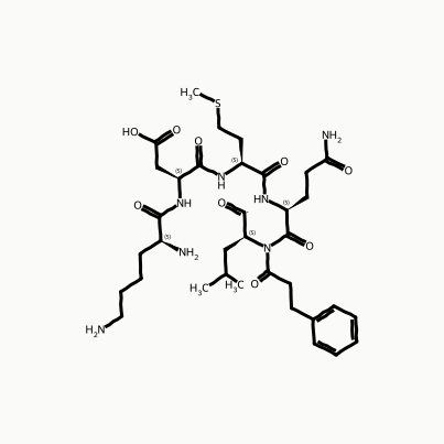 CSCC[C@H](NC(=O)[C@H](CC(=O)O)NC(=O)[C@@H](N)CCCCN)C(=O)N[C@@H](CCC(N)=O)C(=O)N(C(=O)CCc1ccccc1)[C@H]([C]=O)CC(C)C